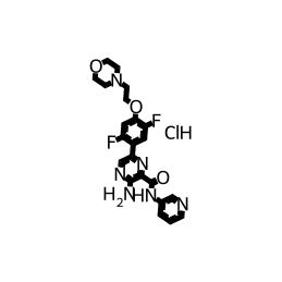 Cl.Nc1ncc(-c2cc(F)c(OCCN3CCOCC3)cc2F)nc1C(=O)Nc1cccnc1